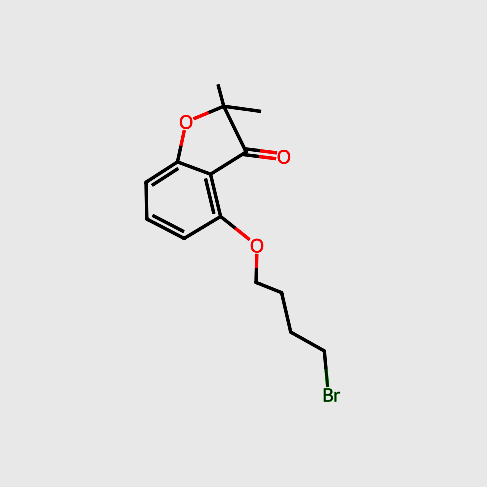 CC1(C)Oc2cccc(OCCCCBr)c2C1=O